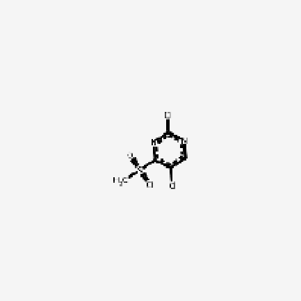 CS(=O)(=O)c1nc(Cl)ncc1Cl